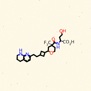 O=C(O)[C@H](CCO)NC(=O)C1(C(F)(F)F)CCOC(C2CC(CCc3ccc4c(n3)NCCC4)C2)C1